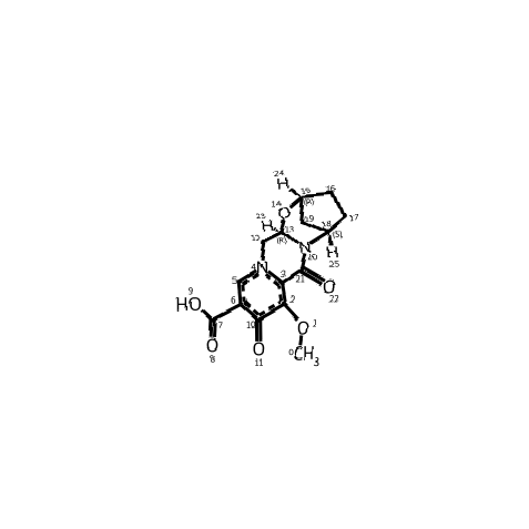 COc1c2n(cc(C(=O)O)c1=O)C[C@H]1O[C@@H]3CC[C@@H](C3)N1C2=O